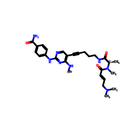 CCCNc1nc(Nc2ccc(C(N)=O)cc2)ncc1C#CCCCNC(=O)[C@H](C)N(C)C(=O)/C=C/CN(C)C